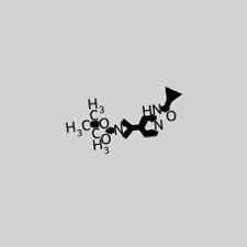 CC(C)(C)OC(=O)N1CC(c2ccnc(NC(=O)C3CC3)c2)C1